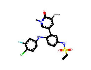 C=CS(=O)(=O)Nc1ccc(Nc2ccc(Cl)c(F)c2)c(-c2cc(NC)c(=O)n(C)c2)c1